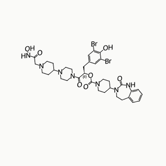 O=C(CN1CCC(N2CCN(C(=O)[C@@H](Cc3cc(Br)c(O)c(Br)c3)OC(=O)N3CCC(N4CCc5ccccc5NC4=O)CC3)CC2)CC1)NO